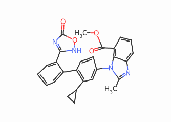 COC(=O)c1cccc2nc(C)n(-c3ccc(-c4ccccc4-c4nc(=O)o[nH]4)c(C4CC4)c3)c12